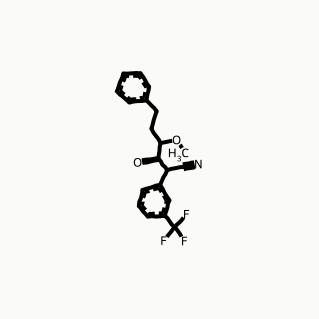 COC(CCc1ccccc1)C(=O)C(C#N)c1cccc(C(F)(F)F)c1